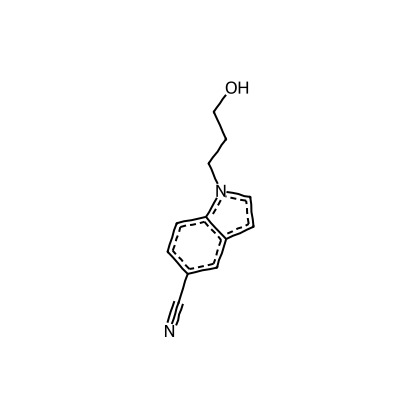 N#Cc1ccc2c(ccn2CCCO)c1